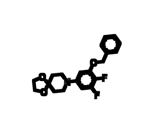 Fc1cc(N2CCC3(CC2)OCCO3)cc(OCc2ccccc2)c1F